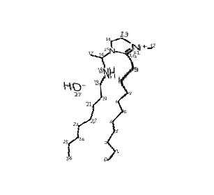 CCCCCCCCCCC1=[N+](C)CCN1C(C)NCCCCCCCC.[OH-]